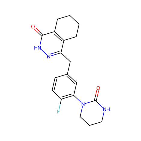 O=C1NCCCN1c1cc(Cc2n[nH]c(=O)c3c2CCCC3)ccc1F